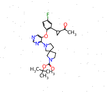 CC(=O)C1CC1c1cc(F)ccc1Oc1cncnc1N1CCC2(CCN(C(=O)OC(C)(C)C)C2)C1